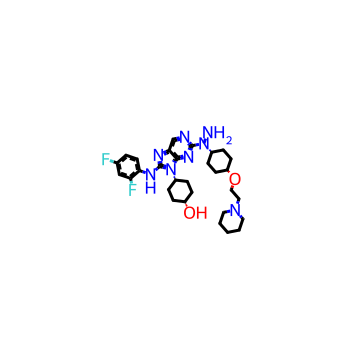 NN(c1ncc2nc(Nc3ccc(F)cc3F)n([C@H]3CC[C@@H](O)CC3)c2n1)[C@H]1CC[C@H](OCCN2CCCCC2)CC1